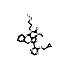 CCn1c(=O)n(CCCN=O)c(=O)c2c1nc(-c1nccnc1OCC1CC1)n2Cc1ccccc1